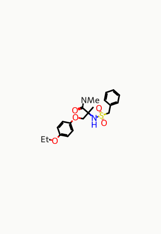 CCOc1ccc(OCC(C)(NS(=O)(=O)Cc2ccccc2)C(=O)NC)cc1